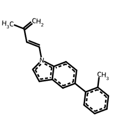 C=C(C)C=Cn1ccc2cc(-c3ccccc3C)ccc21